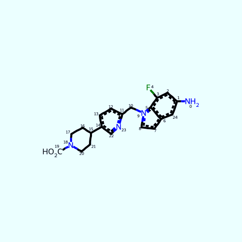 Nc1cc(F)c2c(ccn2Cc2ccc(C3CCN(C(=O)O)CC3)cn2)c1